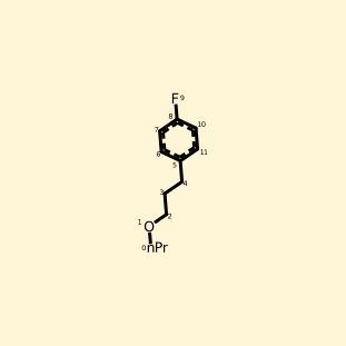 [CH2]CCOCCCc1ccc(F)cc1